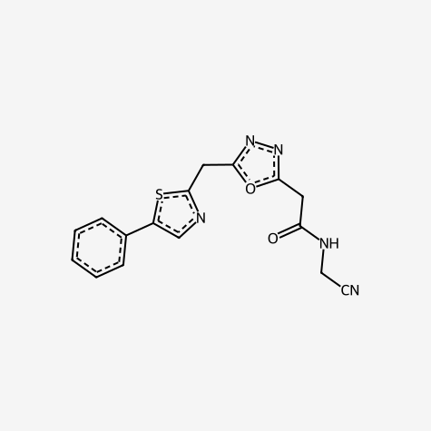 N#CCNC(=O)Cc1nnc(Cc2ncc(-c3ccccc3)s2)o1